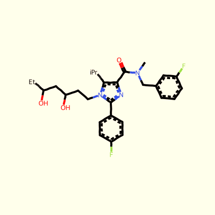 [CH2]CC(O)CC(O)CCn1c(-c2ccc(F)cc2)nc(C(=O)N(C)Cc2cccc(F)c2)c1C(C)C